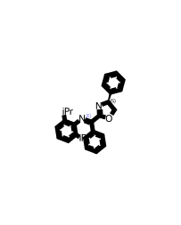 CC(C)c1cccc(C(C)C)c1/N=C(/C1=N[C@@H](c2ccccc2)CO1)c1ccccc1